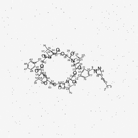 CC(C)C#Cc1cnn(Cc2ccc(C[C@H]3OC(=O)[C@H](CC(C)C)N(C)C(=O)[C@@H](C)OC(=O)[C@H](CC(C)C)N(C)C(=O)[C@@H](Cc4ccccc4)OC(=O)[C@H](CC(C)C)N(C)C(=O)[C@@H](C)OC(=O)[C@H](CC(C)C)N(C)C3=O)cc2)c1